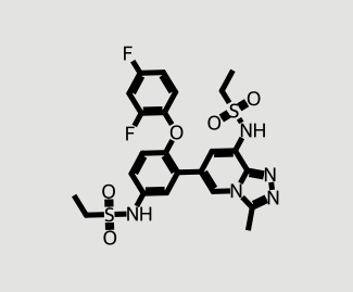 CCS(=O)(=O)Nc1ccc(Oc2ccc(F)cc2F)c(-c2cc(NS(=O)(=O)CC)c3nnc(C)n3c2)c1